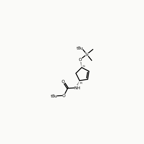 CC(C)(C)OC(=O)N[C@H]1C=C[C@@H](O[Si](C)(C)C(C)(C)C)C1